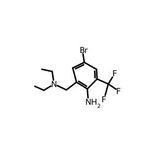 CCN(CC)Cc1cc(Br)cc(C(F)(F)F)c1N